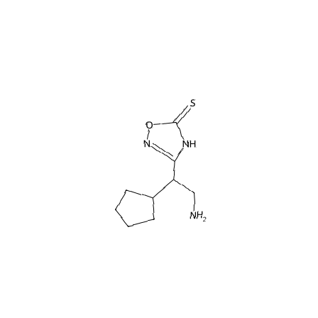 NCC(c1noc(=S)[nH]1)C1CCCC1